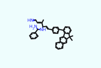 C/C(=C\C=N)C(/C=C/c1ccc(-c2cccc3c2-c2cc4ccccc4cc2C3(C)C)cc1)NC(N)c1ccccc1